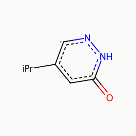 CC(C)c1[c]n[nH]c(=O)c1